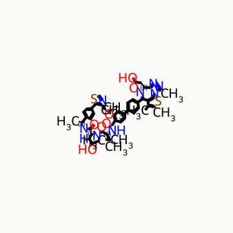 COc1cc(-c2ccc(C3=N[C@@H](CC(=O)O)c4nnc(C)n4-c4sc(C)c(C)c43)cc2)ccc1C(=O)N[C@H](C(=O)N1C[C@H](O)C[C@H]1C(=O)N[C@@H](C)c1ccc(-c2scnc2C)cc1)C(C)(C)C